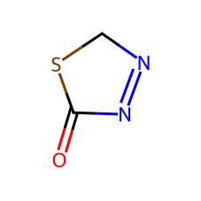 O=C1N=NCS1